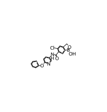 O=C(Nc1ccc(Oc2ccccc2)nc1)c1cc2c(cc1Cl)COB2O